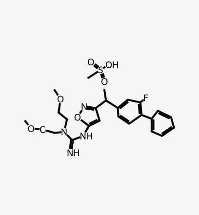 COCCN(CCOC)C(=N)Nc1cc(C(C)c2ccc(-c3ccccc3)c(F)c2)no1.CS(=O)(=O)O